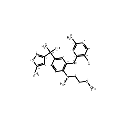 COCCN(C)c1ccc(C(C)(O)c2cc(C)on2)cc1Nc1nc(N)ncc1Cl